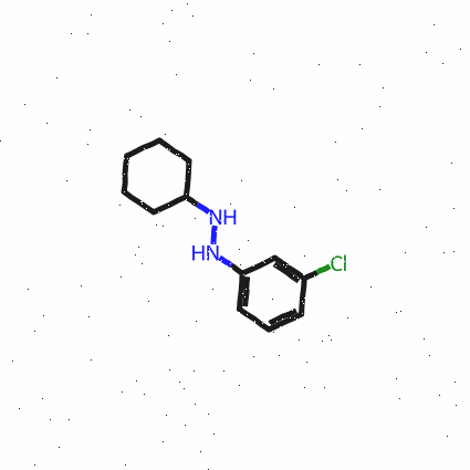 Clc1cccc(NNC2CCCCC2)c1